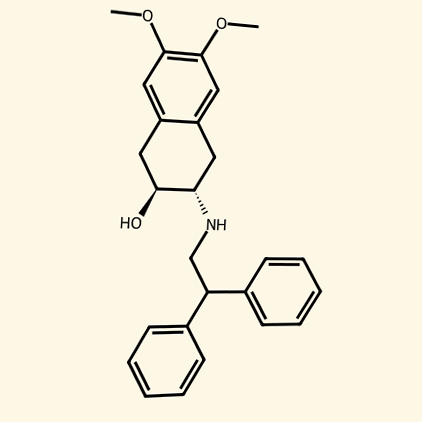 COc1cc2c(cc1OC)C[C@H](O)[C@@H](NCC(c1ccccc1)c1ccccc1)C2